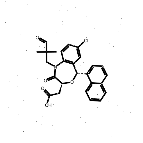 CC(C)(C=O)CN1C(=O)[C@H](CC(=O)O)O[C@@H](c2cccc3ccccc23)c2cc(Cl)ccc21